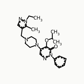 CCn1ncc(CN2CCN(c3cnn(-c4ccccc4)c(=O)c3OC(C)C)CC2)c1C